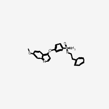 COc1ccc2c(Oc3ccc(S(N)(=O)=NCCc4ccccc4)cc3)ccnc2c1